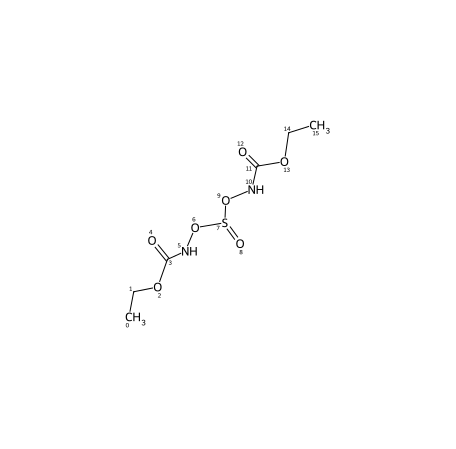 CCOC(=O)NOS(=O)ONC(=O)OCC